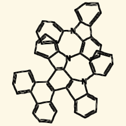 c1ccc(-n2c3ccccc3c3cccc(-n4c5ccccc5c5c6c7ccccc7c7ccccc7c6c6c7ccccc7n(-c7ccccc7)c6c54)c32)cc1